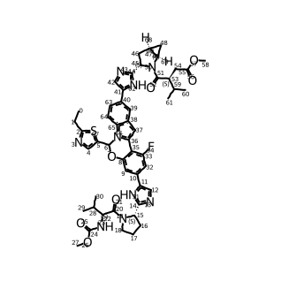 CCc1ncc(C2Oc3cc(-c4cnc([C@@H]5CCCN5C(=O)[C@@H](NC(=O)OC)C(C)C)[nH]4)cc(F)c3-c3cc4cc(-c5cnc([C@@H]6C[C@H]7C[C@H]7N6C(=O)[C@@H](CC(=O)OC)C(C)C)[nH]5)ccc4n32)s1